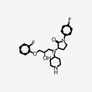 O=C1[C@H](N(C[C@@H](O)COc2ccccc2F)C2CCNCC2)CCN1c1ccc(F)cc1